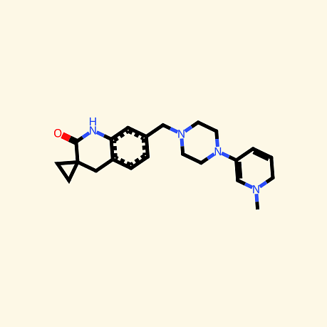 CN1C=C(N2CCN(Cc3ccc4c(c3)NC(=O)C3(CC3)C4)CC2)C=CC1